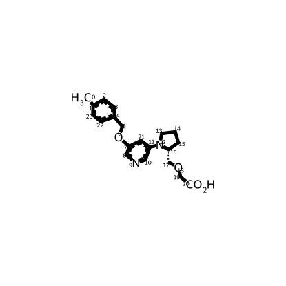 Cc1ccc(COc2cncc(N3CCC[C@@H]3COCC(=O)O)c2)cc1